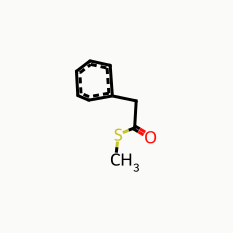 CSC(=O)Cc1ccccc1